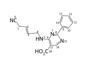 N#CCC=CCNc1nc(-c2ccccc2)ncc1C(=O)O